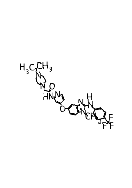 CC(C)N1CCN(CC(=O)Nc2cc(Oc3ccc4c(c3)nc(Nc3ccc(C(F)(F)F)cc3)n4C)ccn2)CC1